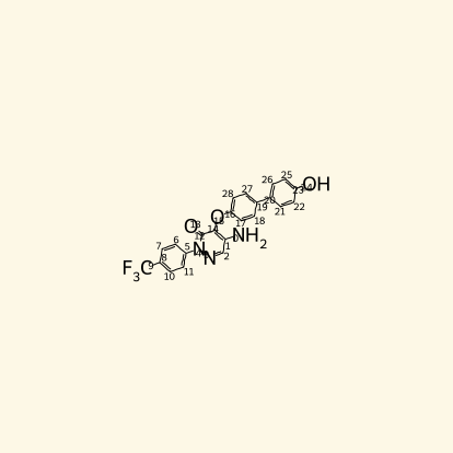 Nc1cnn(-c2ccc(C(F)(F)F)cc2)c(=O)c1Oc1ccc(-c2ccc(O)cc2)cc1